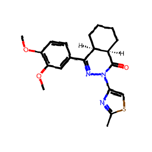 COc1ccc(C2=NN(c3csc(C)n3)C(=O)[C@@H]3CCCC[C@H]23)cc1OC